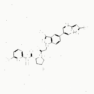 CCc1cc2ncc(-c3ccc4c(c3)c(C(C)=O)nn4CC(=O)N3C[C@H](F)C[C@H]3C(=O)Nc3cccc(Br)n3)cn2n1